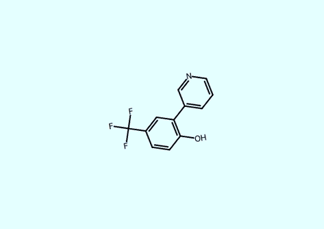 Oc1ccc(C(F)(F)F)cc1-c1cccnc1